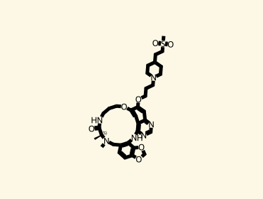 C[C@H]1C(=O)NCCCOc2cc3c(ncnc3cc2OCCCN2CCC(CCS(C)(=O)=O)CC2)Nc2c(ccc3c2OCO3)CN1C